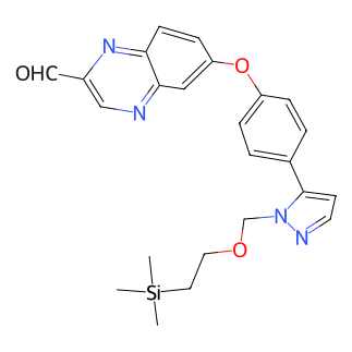 C[Si](C)(C)CCOCn1nccc1-c1ccc(Oc2ccc3nc(C=O)cnc3c2)cc1